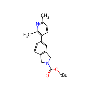 Cc1ccc(-c2ccc3c(c2)CN(C(=O)OC(C)(C)C)C3)c(C(F)(F)F)n1